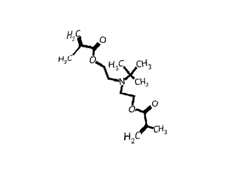 C=C(C)C(=O)OCCN(CCOC(=O)C(=C)C)C(C)(C)C